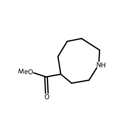 COC(=O)C1CCCCNCC1